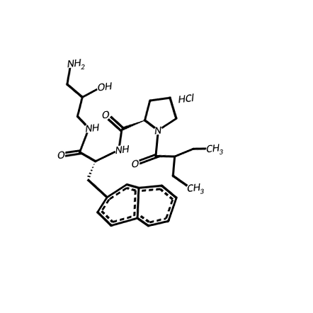 CCC(CC)C(=O)N1CCC[C@@H]1C(=O)N[C@H](Cc1ccc2ccccc2c1)C(=O)NCC(O)CN.Cl